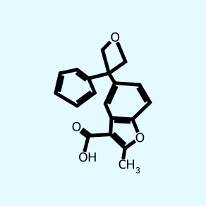 Cc1oc2ccc(C3(c4ccccc4)COC3)cc2c1C(=O)O